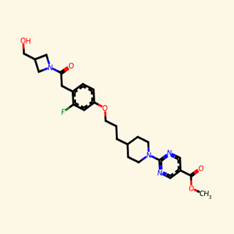 COC(=O)c1cnc(N2CCC(CCCOc3ccc(CC(=O)N4CC(CO)C4)c(F)c3)CC2)nc1